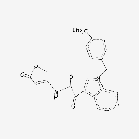 CCOC(=O)c1ccc(Cn2cc(C(=O)C(=O)NC3=CC(=O)OC3)c3ccccc32)cc1